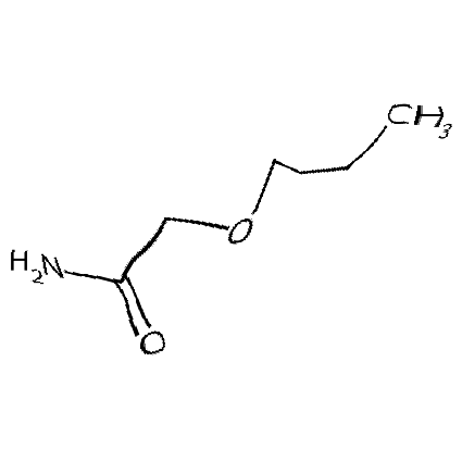 CCCOCC(N)=O